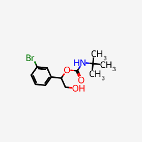 CC(C)(C)NC(=O)OC(CO)c1cccc(Br)c1